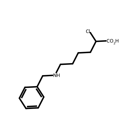 O=C(O)C(Cl)CCCCNCc1ccccc1